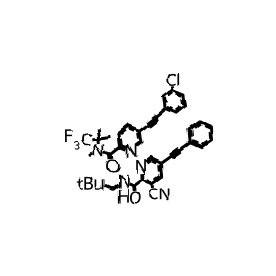 CC(C)(C)CNC(=O)c1ncc(C#Cc2ccccc2)cc1C#N.CN(C(=O)c1ccc(C#Cc2cccc(Cl)c2)cn1)C(C)(C)C(F)(F)F